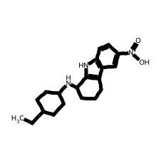 CCC1CCC(NC2CCCc3c2[nH]c2ccc([N+](=O)O)cc32)CC1